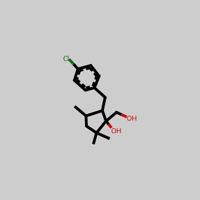 CC1CC(C)(C)C(O)(CO)C1Cc1ccc(Cl)cc1